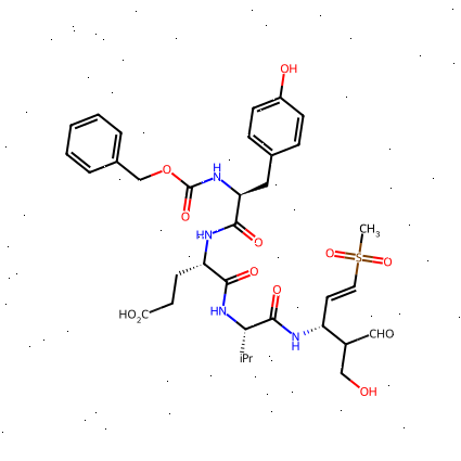 CC(C)[C@H](NC(=O)[C@H](CCC(=O)O)NC(=O)[C@H](Cc1ccc(O)cc1)NC(=O)OCc1ccccc1)C(=O)N[C@H](/C=C/S(C)(=O)=O)C(C=O)CO